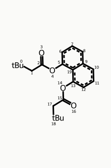 CC(C)(C)CC(=O)Oc1cccc2cccc(OC(=O)CC(C)(C)C)c12